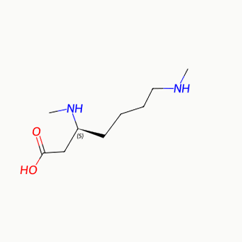 CNCCCC[C@@H](CC(=O)O)NC